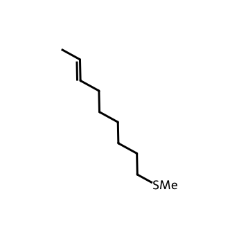 CC=CCCCCCCSC